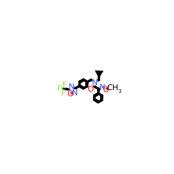 CON=C(C(=O)N(Cc1ccc(-c2noc(C(F)(F)F)n2)cc1)CC1CC1)c1ccccc1